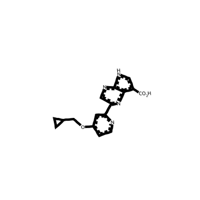 O=C(O)c1c[nH]c2ncc(-c3cc(OCC4CC4)ccn3)nc12